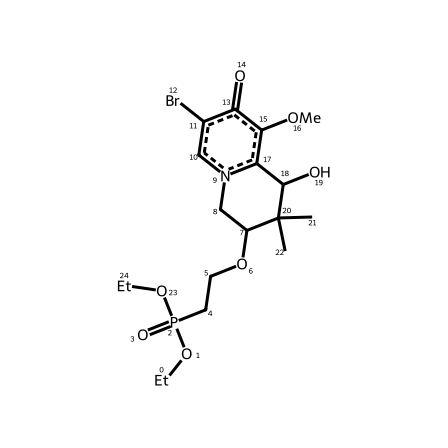 CCOP(=O)(CCOC1Cn2cc(Br)c(=O)c(OC)c2C(O)C1(C)C)OCC